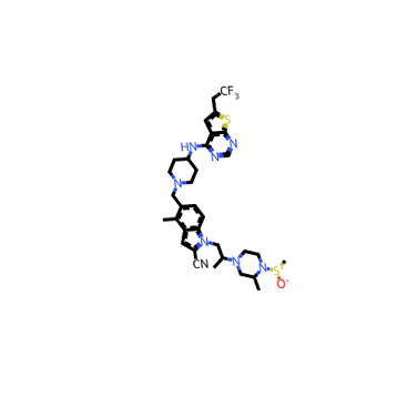 Cc1c(CN2CCC(Nc3ncnc4sc(CC(F)(F)F)cc34)CC2)ccc2c1cc(C#N)n2CC(C)N1CCN([S+](C)[O-])C(C)C1